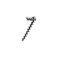 CCCCCCCCCCCCCCC=CCC1=NCCN1CCCC